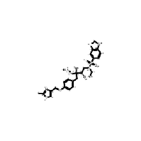 [2H][C@@](Cc1ccc(OCc2csc(C)n2)cc1)(NC(=O)O)[C@H](O)CN(CC(C)C)S(=O)(=O)c1ccc2c(c1)OCO2